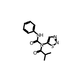 CC(C)C(=O)N(C(=O)Nc1ccccc1)c1cnns1